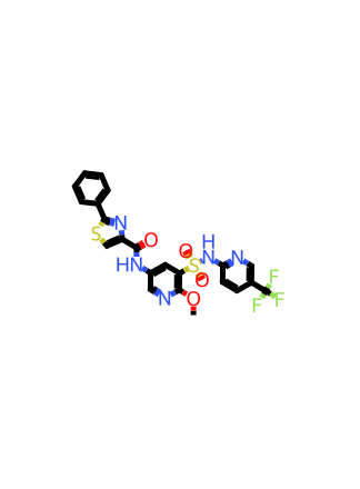 COc1ncc(NC(=O)c2csc(-c3ccccc3)n2)cc1S(=O)(=O)Nc1ccc(C(F)(F)F)cn1